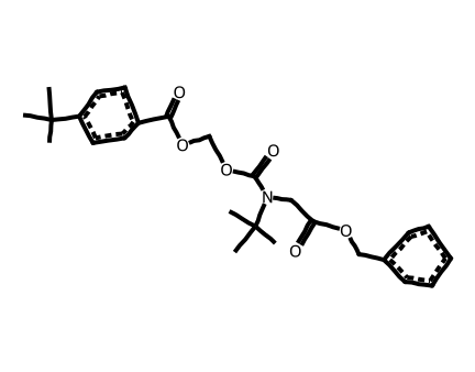 CC(C)(C)c1ccc(C(=O)OCOC(=O)N(CC(=O)OCc2ccccc2)C(C)(C)C)cc1